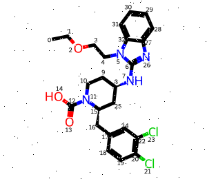 CCOCCn1c(N[C@@H]2CCN(C(=O)O)[C@H](Cc3ccc(Cl)c(Cl)c3)C2)nc2ccccc21